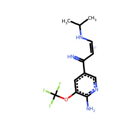 CC(C)N/C=C\C(=N)c1cnc(N)c(OC(F)(F)F)c1